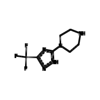 FC(F)(F)c1n[nH]c(N2CCNCC2)n1